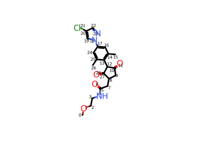 COCCNC(=O)CC1CC(=O)C(c2c(C)cc(-n3cc(Cl)cn3)cc2C)C1=O